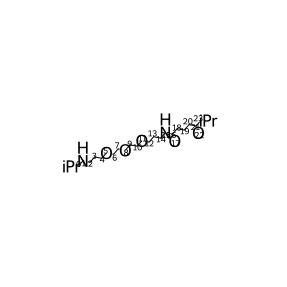 CC(C)NCCCOCCOCCOCCCNC(=O)CCCC(=O)C(C)C